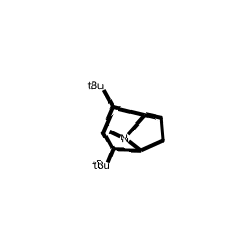 CN1C2CCC1C(C(C)(C)C)CC2C(C)(C)C